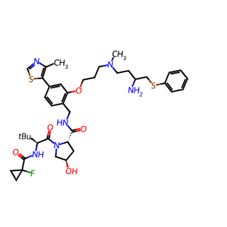 Cc1ncsc1-c1ccc(CNC(=O)[C@@H]2C[C@@H](O)CN2C(=O)[C@@H](NC(=O)C2(F)CC2)C(C)(C)C)c(OCCCN(C)CCC(N)CSc2ccccc2)c1